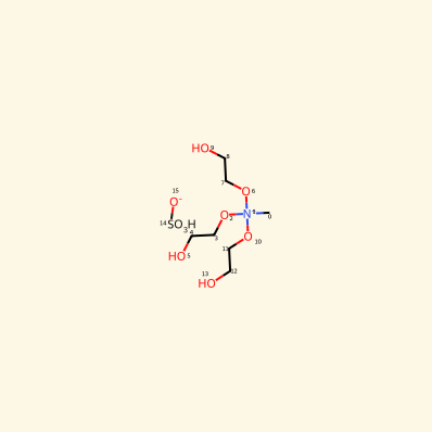 C[N+](OCCO)(OCCO)OCCO.O=S(=O)([O-])O